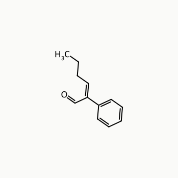 CCCC=C(C=O)c1ccccc1